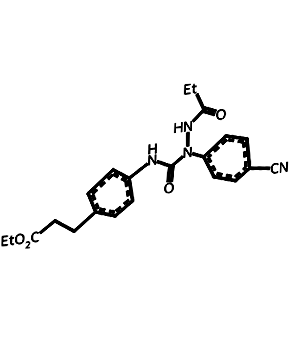 CCOC(=O)CCc1ccc(NC(=O)N(NC(=O)CC)c2ccc(C#N)cc2)cc1